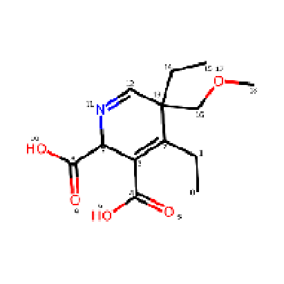 CCC1=C(C(=O)O)C(C(=O)O)N=CC1(CC)COC